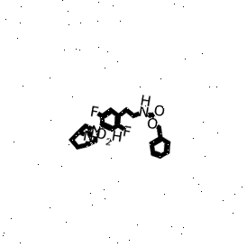 O=C(NCCc1cc(F)c(N2CC3CCC(C2)N3C(=O)O)cc1F)OCc1ccccc1